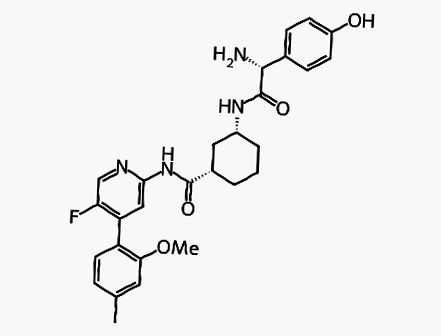 COc1cc(C)ccc1-c1cc(NC(=O)[C@H]2CCC[C@@H](NC(=O)[C@H](N)c3ccc(O)cc3)C2)ncc1F